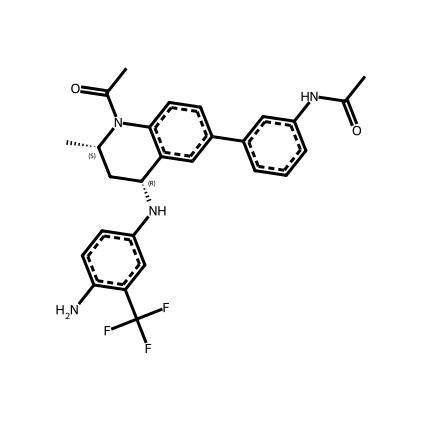 CC(=O)Nc1cccc(-c2ccc3c(c2)[C@H](Nc2ccc(N)c(C(F)(F)F)c2)C[C@H](C)N3C(C)=O)c1